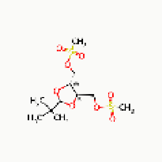 CC(C)(C)C1O[C@H](COS(C)(=O)=O)[C@@H](COS(C)(=O)=O)O1